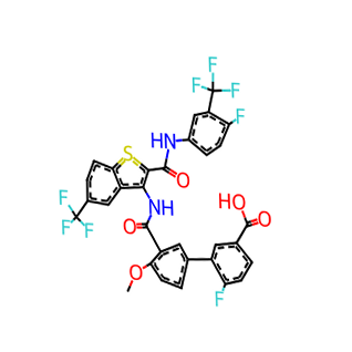 COc1ccc(-c2cc(C(=O)O)ccc2F)cc1C(=O)Nc1c(C(=O)Nc2ccc(F)c(C(F)(F)F)c2)sc2ccc(C(F)(F)F)cc12